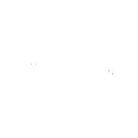 N#CCc1ccc2c(c1)CCCCO2